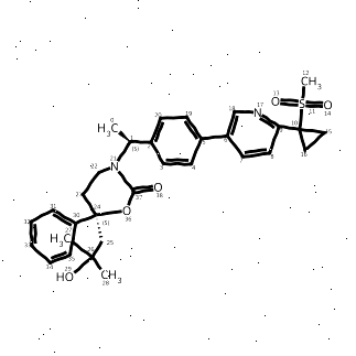 C[C@@H](c1ccc(-c2ccc(C3(S(C)(=O)=O)CC3)nc2)cc1)N1CC[C@](CC(C)(C)O)(c2ccccc2)OC1=O